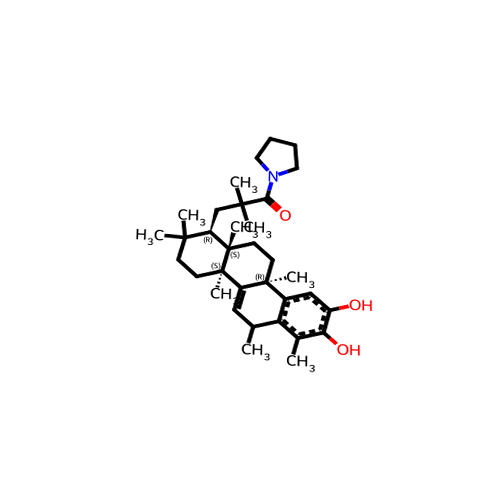 Cc1c(O)c(O)cc2c1C(C)C=C1[C@@]2(C)CC[C@@]2(C)[C@H](CC(C)(C)C(=O)N3CCCC3)C(C)(C)CC[C@]12C